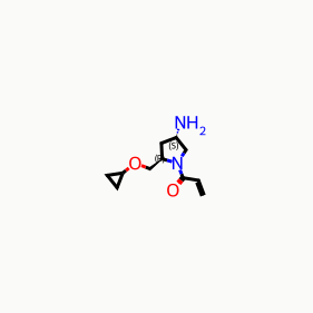 C=CC(=O)N1C[C@@H](N)C[C@@H]1COC1CC1